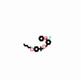 CCCCCOc1ccc(C(C)(C)COCc2ccc(F)c(Oc3ccccc3)c2)cc1